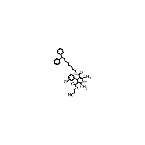 CC1=C(C(=O)OCCC#N)C(c2cccc(Cl)c2)C(C(=O)OCCCCCCCC(c2ccccc2)c2ccccc2)=C(C)N1